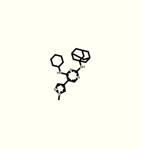 Cn1cc(-c2cnc(NC34CC5CC(CC(C5)C3)C4)nc2NC2CCCCC2)cn1